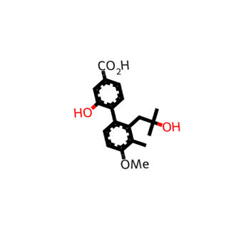 COc1ccc(-c2ccc(C(=O)O)cc2O)c(CC(C)(C)O)c1C